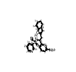 [NH]c1cccc(C(Cc2cc3ccccc3o2)NS(=O)(=O)c2cccnc2)n1